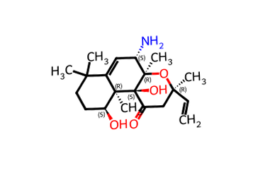 C=C[C@@]1(C)CC(=O)[C@@]2(O)[C@](C)(O1)[C@@H](N)C=C1C(C)(C)CC[C@H](O)[C@@]12C